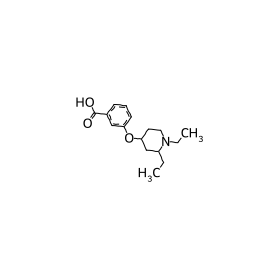 CCC1CC(Oc2cccc(C(=O)O)c2)CCN1CC